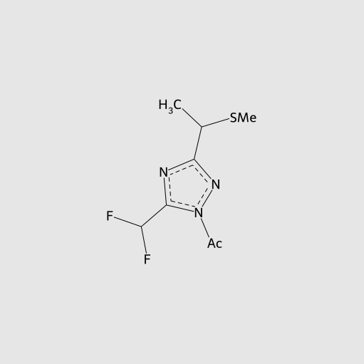 CSC(C)c1nc(C(F)F)n(C(C)=O)n1